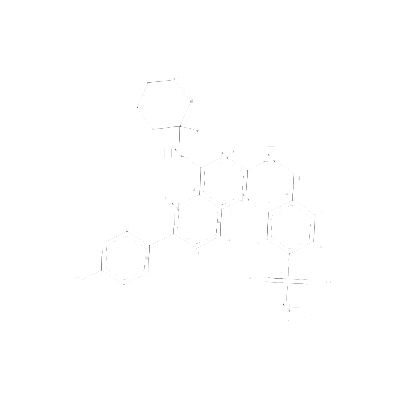 C[C@@H](Nc1nc(NC2(C(F)(F)F)CCCCC2)c2nc(-c3ccc(F)cc3)ccc2n1)c1ccc(S(N)(=O)=O)cc1